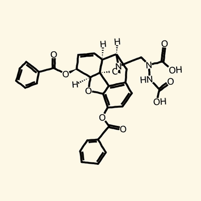 O=C(O)NN(CN1CC[C@]23c4c5ccc(OC(=O)c6ccccc6)c4O[C@H]2[C@@H](OC(=O)c2ccccc2)C=C[C@H]3[C@H]1C5)C(=O)O